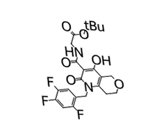 CC(C)(C)OC(=O)CNC(=O)c1c(O)c2c(n(Cc3cc(F)c(F)cc3F)c1=O)CCOC2